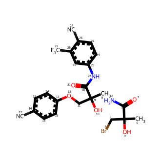 CC(O)(CBr)C(N)=O.CC(O)(COc1ccc(C#N)cc1)C(=O)Nc1ccc(C#N)c(C(F)(F)F)c1